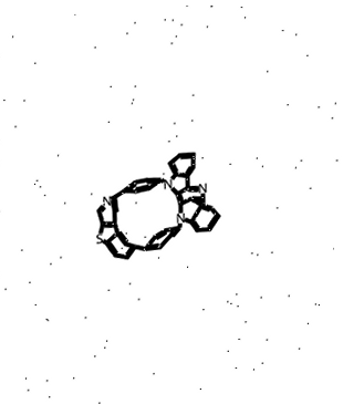 c1ccc2c(c1)c1cnc3c4ccccc4n4c5ccc(cc5)c5cc6c(cn5)sc5ccc(cc56)c5ccc(cc5)n2c1c34